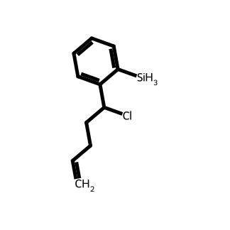 C=CCCC(Cl)c1ccccc1[SiH3]